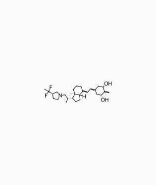 C=C1[C@H](O)CC(=C/C=C2\CCC[C@]3(C)[C@@H](C(C)CN4CC[C@@H](C(C)(F)F)C4)CC[C@@H]23)C[C@H]1O